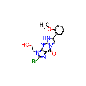 COc1ccccc1-c1cn2c(=O)c3nc(Br)n(CCO)c3nc2[nH]1